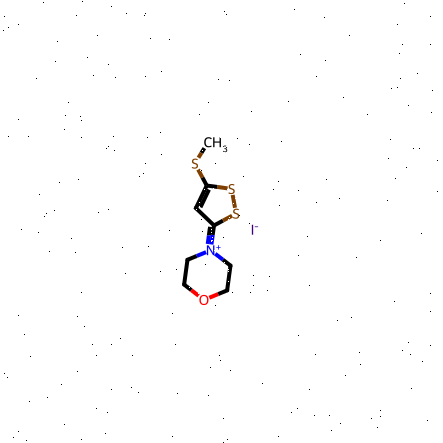 CSc1cc(=[N+]2CCOCC2)ss1.[I-]